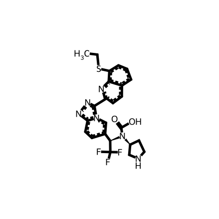 CCSc1cccc2ccc(-c3nnc4ccc([C@@H](N(C(=O)O)[C@H]5CCNC5)C(F)(F)F)cn34)nc12